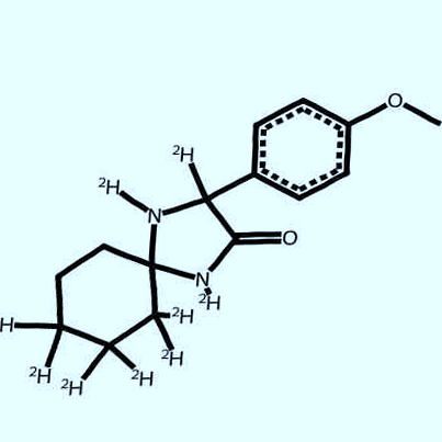 [2H]N1C(=O)C([2H])(c2ccc(OC)cc2)N([2H])C12CCC([2H])([2H])C([2H])([2H])C2([2H])[2H]